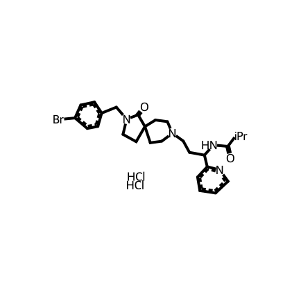 CC(C)C(=O)NC(CCN1CCC2(CC1)CCN(Cc1ccc(Br)cc1)C2=O)c1ccccn1.Cl.Cl